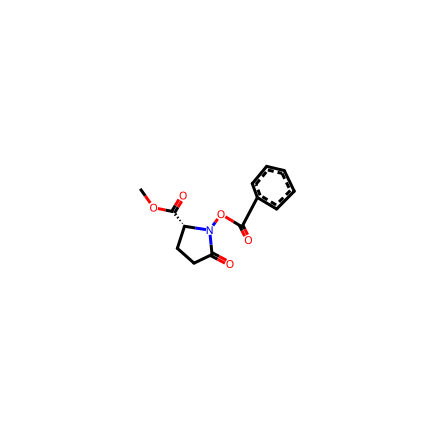 COC(=O)[C@H]1CCC(=O)N1OC(=O)c1ccccc1